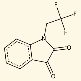 O=C1C(=O)N(CC(F)(F)F)c2ccccc21